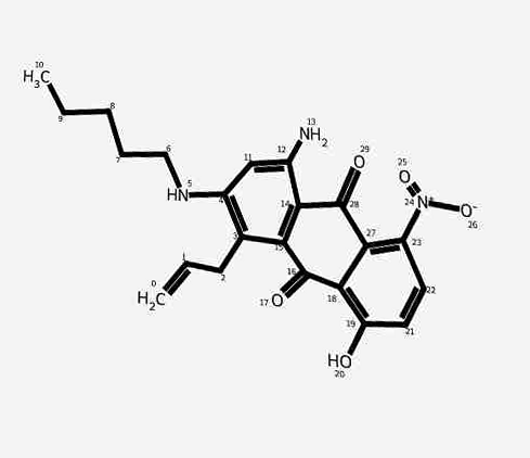 C=CCc1c(NCCCCC)cc(N)c2c1C(=O)c1c(O)ccc([N+](=O)[O-])c1C2=O